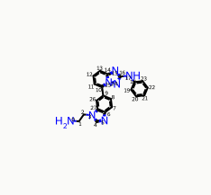 NCCn1cnc2ccc(-c3cccc4nc(Nc5ccccc5)nn34)cc21